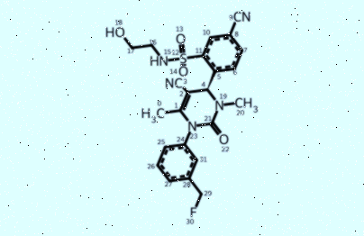 CC1=C(C#N)[C@@H](c2ccc(C#N)cc2S(=O)(=O)NCCO)N(C)C(=O)N1c1cccc(CF)c1